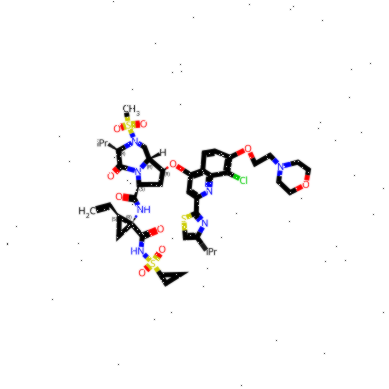 C=C[C@@H]1C[C@]1(NC(=O)[C@@H]1C[C@@H](Oc2cc(-c3nc(C(C)C)cs3)nc3c(Cl)c(OCCN4CCOCC4)ccc23)[C@H]2CN(S(C)(=O)=O)[C@H](C(C)C)C(=O)N21)C(=O)NS(=O)(=O)C1CC1